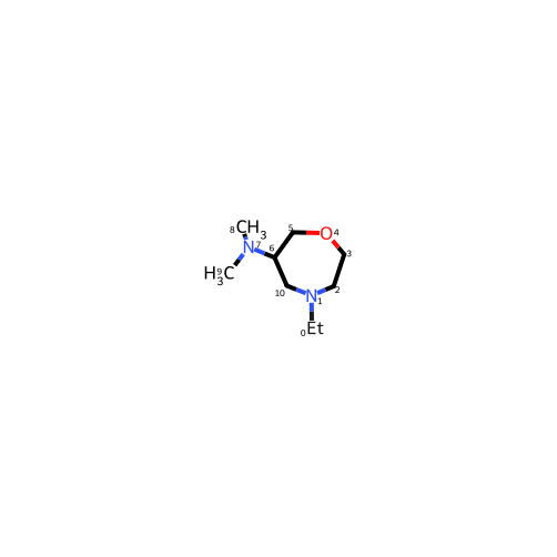 CCN1CCOCC(N(C)C)C1